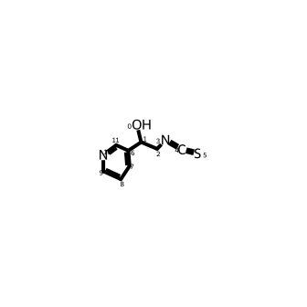 OC(CN=C=S)c1cccnc1